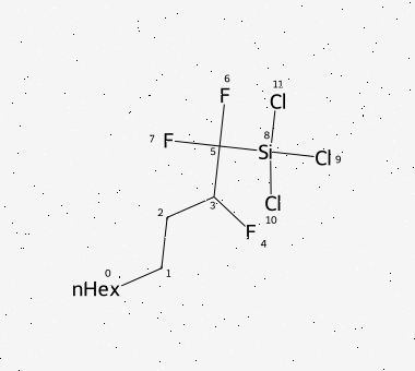 CCCCCCCCC(F)C(F)(F)[Si](Cl)(Cl)Cl